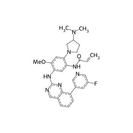 C=CC(=O)Nc1cc(Nc2ncc3cccc(-c4cncc(F)c4)c3n2)c(OC)cc1N1CCC(N(C)C)C1